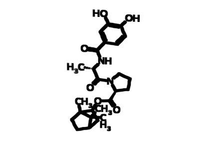 C[C@H](NC(=O)c1ccc(O)c(O)c1)C(=O)N1CCC[C@H]1C(=O)OC1CC2CCC1(C)C2(C)C